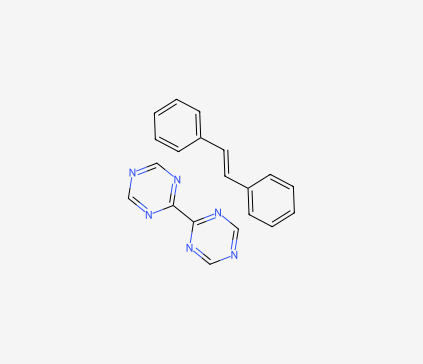 C(=Cc1ccccc1)c1ccccc1.c1ncnc(-c2ncncn2)n1